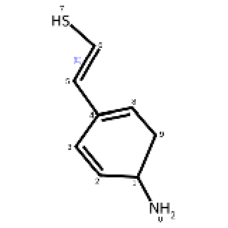 NC1C=CC(/C=C/S)=CC1